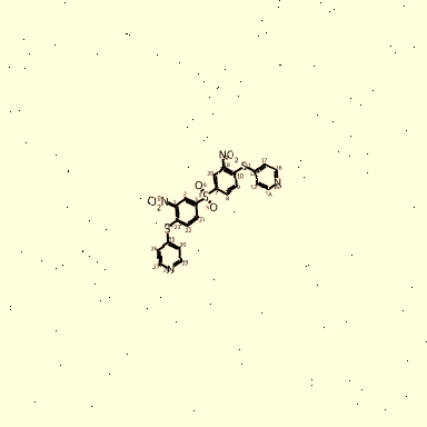 O=[N+]([O-])c1cc(S(=O)(=O)c2ccc(Sc3ccncc3)c([N+](=O)[O-])c2)ccc1Sc1ccncc1